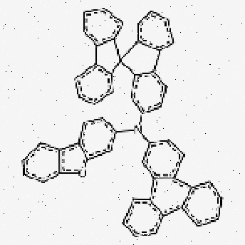 c1ccc2c(c1)-c1ccccc1C21c2ccccc2-c2ccc(N(c3ccc4c(c3)oc3ccccc34)c3ccc4c5ccccc5c5ccccc5c4c3)cc21